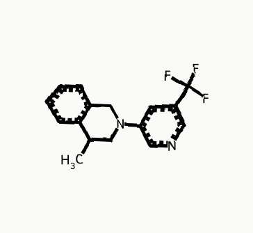 CC1CN(c2cncc(C(F)(F)F)c2)Cc2ccccc21